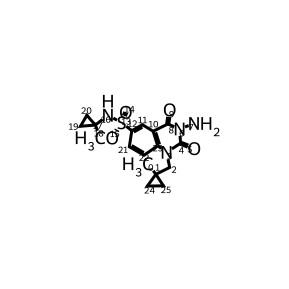 CC1(Cn2c(=O)n(N)c(=O)c3cc(S(=O)(=O)NC4(C)CC4)ccc32)CC1